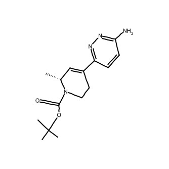 C[C@@H]1C=C(c2ccc(N)nn2)CCN1C(=O)OC(C)(C)C